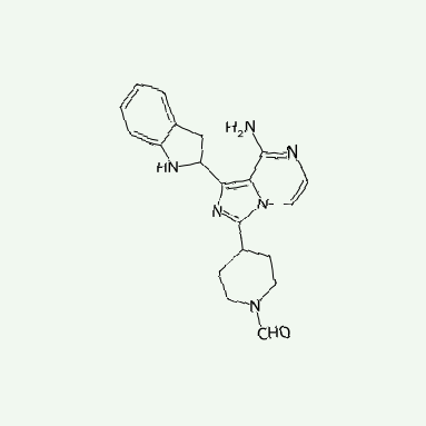 Nc1nccn2c(C3CCN(C=O)CC3)nc(C3Cc4ccccc4N3)c12